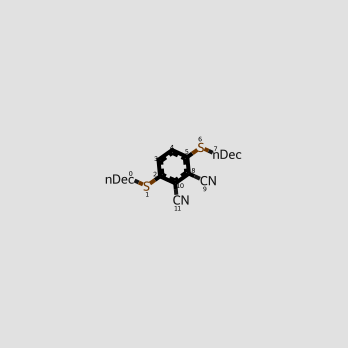 CCCCCCCCCCSc1ccc(SCCCCCCCCCC)c(C#N)c1C#N